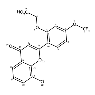 O=C(O)COc1cc(OC(F)(F)F)ccc1-c1cc(=O)c2cccc(Cl)c2o1